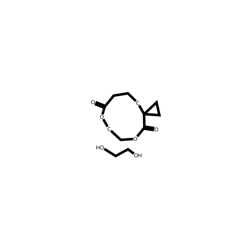 O=C1CCCC2(CC2)C(=O)OCCO1.OCCO